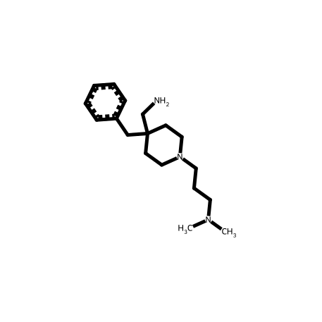 CN(C)CCCN1CCC(CN)(Cc2ccccc2)CC1